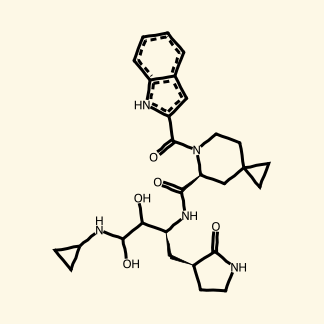 O=C1NCC[C@H]1C[C@H](NC(=O)[C@@H]1CC2(CCN1C(=O)c1cc3ccccc3[nH]1)CC2)C(O)C(O)NC1CC1